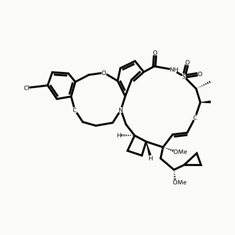 CO[C@H](C[C@]1(OC)/C=C/C[C@H](C)[C@@H](C)S(=O)(=O)NC(=O)c2ccc3c(c2)N(CCCCc2cc(Cl)ccc2CO3)C[C@@H]2CC[C@H]21)C1CC1